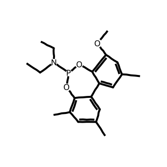 CCN(CC)p1oc2c(C)cc(C)cc2c2cc(C)cc(OC)c2o1